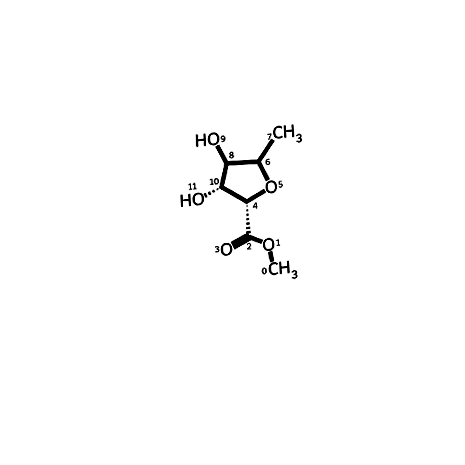 COC(=O)[C@H]1OC(C)C(O)[C@H]1O